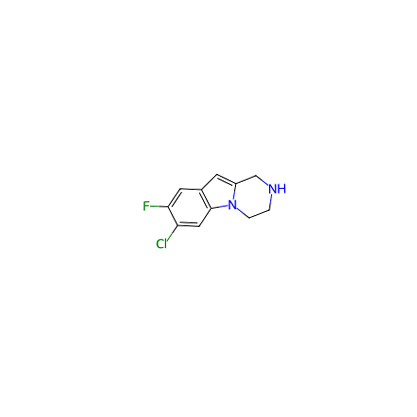 Fc1cc2cc3n(c2cc1Cl)CCNC3